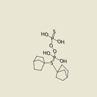 OP(O)(=S)OOP(O)(O)=S(C12CCC(CC1)C2)C12CCC(CC1)C2